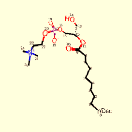 CCCCCCCCCCCCCCCCCCC(=O)O[C@@H](CO)COP(=O)([O-])OCC[N+](C)(C)C